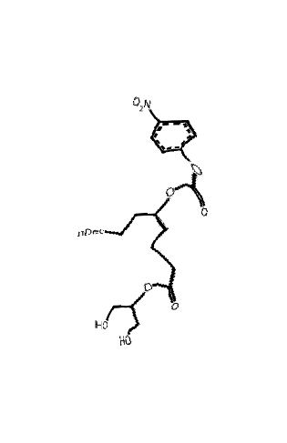 CCCCCCCCCCCCC(CCCC(=O)OC(CO)CO)OC(=O)Oc1ccc([N+](=O)[O-])cc1